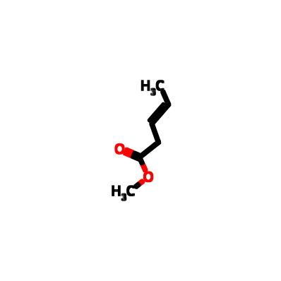 CC=CCC(=O)OC